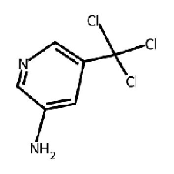 Nc1cncc(C(Cl)(Cl)Cl)c1